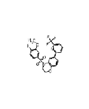 COc1cc(S(=O)(=O)N2CCOc3ccc(-c4cccc(C(F)(F)F)n4)cc32)ccc1F